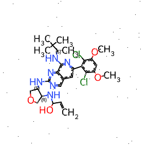 C=CC(O)N[C@H]1COC[C@H]1Nc1ncc2cc(-c3c(Cl)c(OC)cc(OC)c3Cl)nc(N[C@@H](C)C(C)(C)C)c2n1